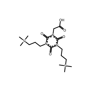 C[Si](C)(C)CCCn1c(=O)n(CCC[Si](C)(C)C)c(=O)n(CC(=O)O)c1=O